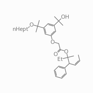 C/C=C\C(c1ccccc1)C(C)(CC)OC(=O)COc1cc(C(C)(C)O)cc(C(C)(C)OCCCCCCC)c1